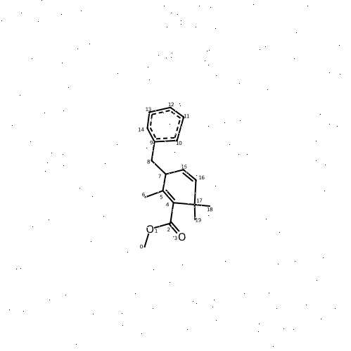 COC(=O)C1=C(C)C(Cc2ccccc2)C=CC1(C)C